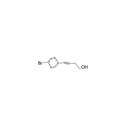 OCCC#Cc1ccc(Br)cc1